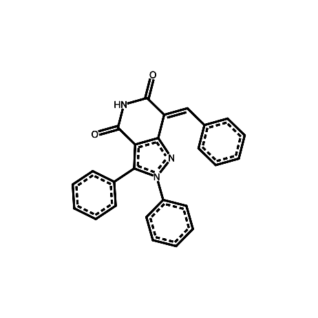 O=C1NC(=O)c2c(nn(-c3ccccc3)c2-c2ccccc2)/C1=C\c1ccccc1